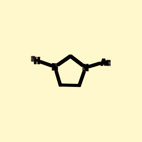 [3H]N1CCN(C(C)=O)C1